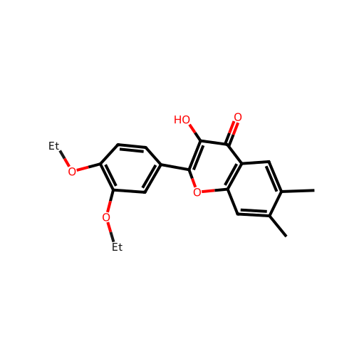 CCOc1ccc(-c2oc3cc(C)c(C)cc3c(=O)c2O)cc1OCC